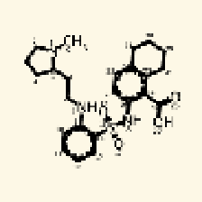 CN1CCCC1CCNc1ccccc1S(=O)(=O)Nc1ccc2c(c1C(=O)O)CCCC2